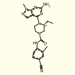 CC[C@H]1CN(C(=O)Nc2ccc(C#N)cc2C)CCN1c1nc(N)nc2c1cnn2C